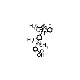 Cc1cc(OCc2c(C(C)C)cnn2-c2c(F)cccc2F)ccc1N(C)Cc1cccc(C(=O)O)c1